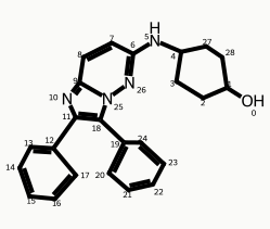 OC1CCC(Nc2ccc3nc(-c4ccccc4)c(-c4ccccc4)n3n2)CC1